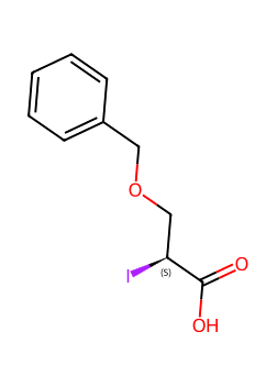 O=C(O)[C@@H](I)COCc1ccccc1